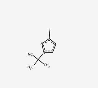 CC(C)(C#N)n1ccc(I)n1